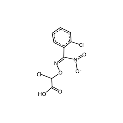 O=C(O)C(Cl)ON=C(c1ccccc1Cl)[N+](=O)[O-]